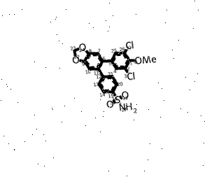 COc1c(Cl)cc(-c2cc3c(cc2-c2ccc(S(N)(=O)=O)cc2)OCO3)cc1Cl